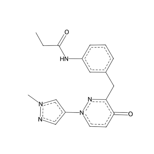 CCC(=O)Nc1cccc(Cc2nn(-c3cnn(C)c3)ccc2=O)c1